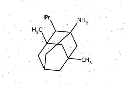 CC(C)C1C2(C)CC3CC(C)(C2)CC1(N)C3